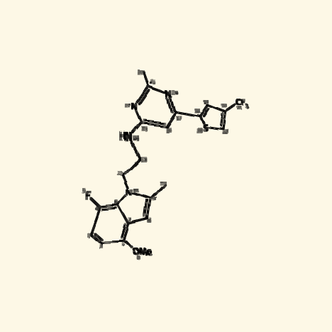 COc1ccc(F)c2c1cc(C)n2CCNc1cc(-c2cc(C(F)(F)F)cs2)nc(C)n1